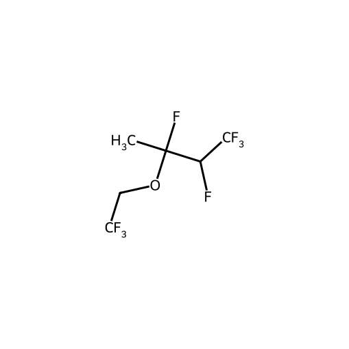 CC(F)(OCC(F)(F)F)C(F)C(F)(F)F